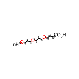 CCCOCCCOCCCOCCCC(=O)O